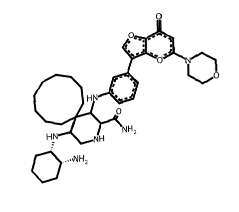 NC(=O)C1NCC(N[C@H]2CCCC[C@H]2N)C2(CCCCCCCCC2)C1Nc1cccc(-c2coc3c(=O)cc(N4CCOCC4)oc23)c1